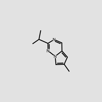 Cc1cc2cnc(C(C)C)nn2c1